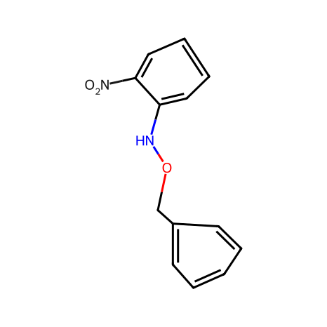 O=[N+]([O-])c1ccccc1NOCc1ccccc1